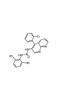 CC(C)c1cccc(C(C)C)c1NC(=O)Nc1cnc2ncccc2c1-c1ccccc1Cl